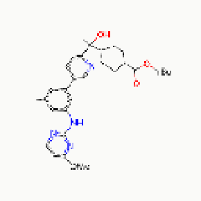 CCCCOC(=O)C1CCC(C(C)(O)c2ccc(-c3cc(C)cc(Nc4nccc(OC)n4)c3)cn2)CC1